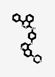 c1ccc(-c2nnc(Nc3ccc(Oc4ccnc5ccc(N6CCOCC6)cc45)cc3)c3ccccc23)cc1